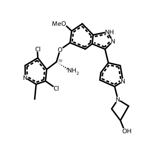 COc1cc2[nH]nc(-c3ccc(N4CC(O)C4)nc3)c2cc1O[C@H](N)c1c(Cl)cnc(C)c1Cl